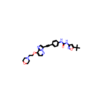 CC(C)(C)c1cc(NC(=O)Nc2ccc(C#Cc3cnc4c(OCCN5CCOCC5)ccnn34)cc2)no1